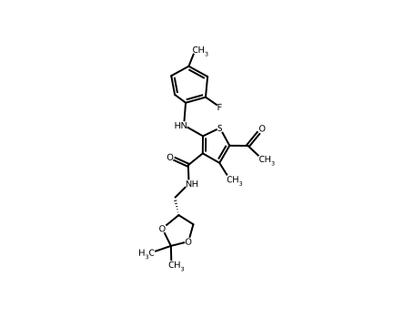 CC(=O)c1sc(Nc2ccc(C)cc2F)c(C(=O)NC[C@@H]2COC(C)(C)O2)c1C